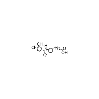 Cc1cc(C(Nc2cccc(CN3CC(C(=O)O)C3)c2)C2CCC2)ccc1Cl